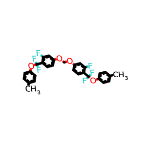 Cc1ccc(OC(F)(F)c2ccc(OCOc3ccc(C(F)(F)Oc4ccc(C)cc4)c(F)c3)cc2F)cc1